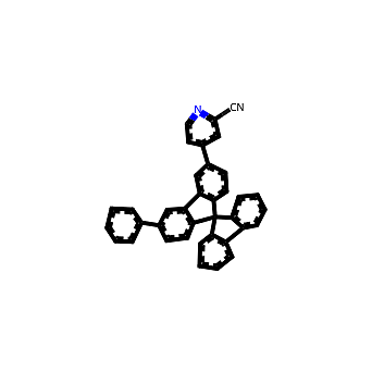 N#Cc1cc(-c2ccc3c(c2)-c2cc(-c4ccccc4)ccc2C32c3ccccc3-c3ccccc32)ccn1